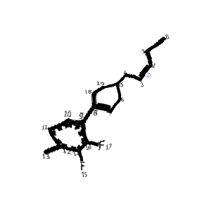 CC/C=C\CC1CC=C(c2ccc(C)c(F)c2F)CC1